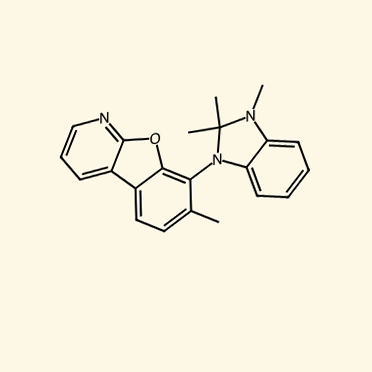 Cc1ccc2c(oc3ncccc32)c1N1c2ccccc2N(C)C1(C)C